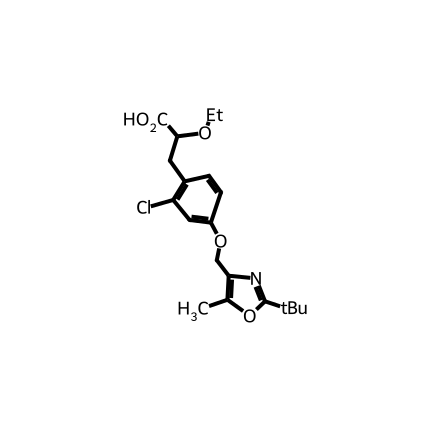 CCOC(Cc1ccc(OCc2nc(C(C)(C)C)oc2C)cc1Cl)C(=O)O